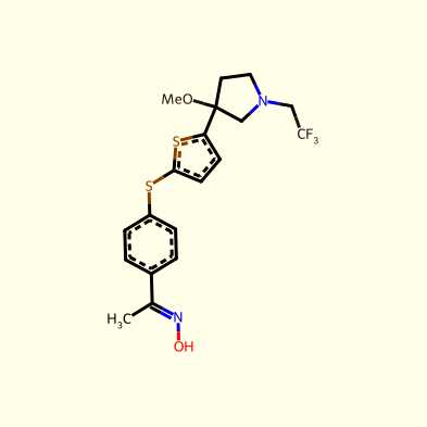 COC1(c2ccc(Sc3ccc(C(C)=NO)cc3)s2)CCN(CC(F)(F)F)C1